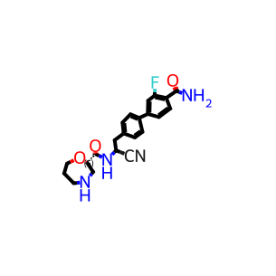 N#CC(Cc1ccc(-c2ccc(C(N)=O)c(F)c2)cc1)NC(=O)[C@@H]1CNCCCO1